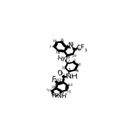 O=C(N[C@@H]1CCC[C@H](Nc2cc(C(F)(F)F)nc3ccccc23)C1)c1ccc2[nH]ncc2c1F